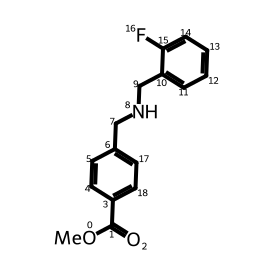 COC(=O)c1ccc(CNCc2ccccc2F)cc1